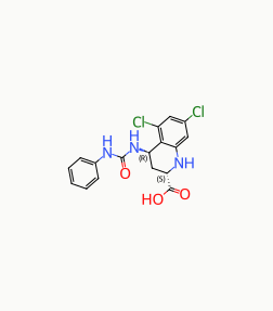 O=C(Nc1ccccc1)N[C@@H]1C[C@@H](C(=O)O)Nc2cc(Cl)cc(Cl)c21